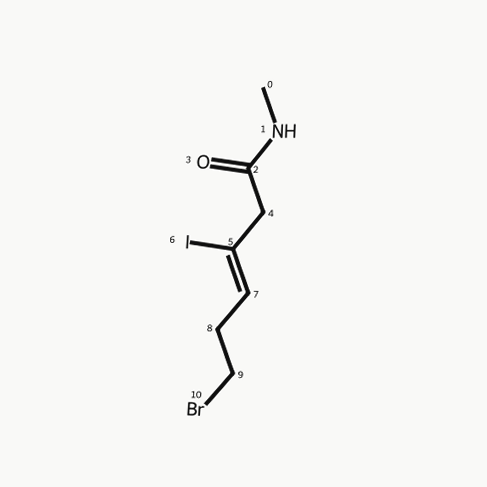 CNC(=O)CC(I)=CCCBr